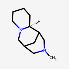 CN1CC2CC(C1)[C@@H]1CCCCN1C2